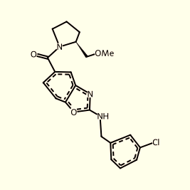 COC[C@@H]1CCCN1C(=O)c1ccc2oc(NCc3cccc(Cl)c3)nc2c1